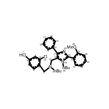 CCCCN(Cc1ccc(O)cc1Cl)Cc1c(-c2ccccc2)nc(-c2ccccc2OC)n1CCCC